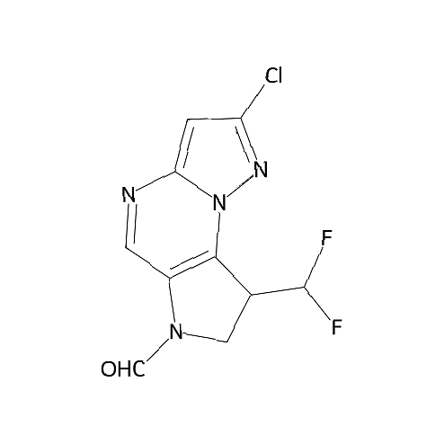 O=CN1CC(C(F)F)c2c1cnc1cc(Cl)nn21